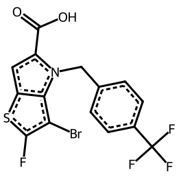 O=C(O)c1cc2sc(F)c(Br)c2n1Cc1ccc(C(F)(F)F)cc1